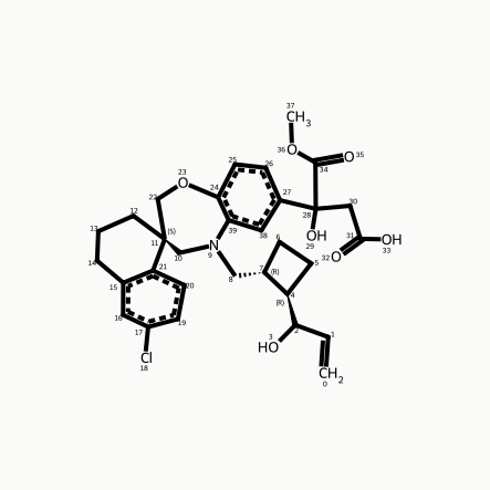 C=CC(O)[C@@H]1CC[C@H]1CN1C[C@@]2(CCCc3cc(Cl)ccc32)COc2ccc(C(O)(CC(=O)O)C(=O)OC)cc21